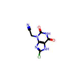 N#CCn1c(=O)[nH]c(=O)c2[nH]c(Cl)nc21